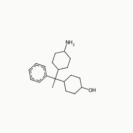 CC(c1ccccc1)(C1CCC(N)CC1)C1CCC(O)CC1